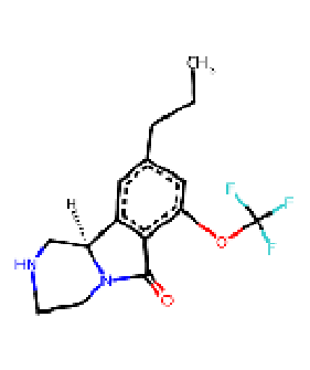 CCCc1cc(OC(F)(F)F)c2c(c1)[C@@H]1CNCCN1C2=O